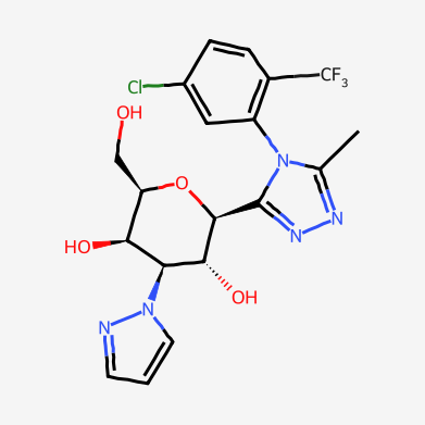 Cc1nnc([C@@H]2O[C@H](CO)[C@H](O)[C@H](n3cccn3)[C@H]2O)n1-c1cc(Cl)ccc1C(F)(F)F